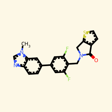 Cn1cnc2ccc(-c3cc(F)c(CN4Cc5sccc5C4=O)c(F)c3)cc21